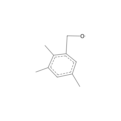 Cc1cc(C)c(C)c(C[O])c1